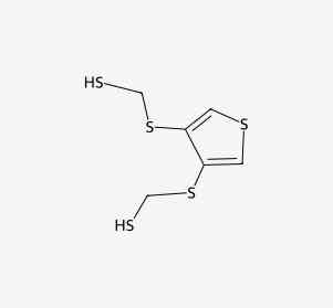 SCSc1cscc1SCS